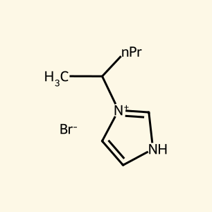 CCCC(C)[n+]1cc[nH]c1.[Br-]